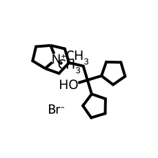 C[N+]1(C)C2CCC1CC(CC(O)(C1CCCC1)C1CCCC1)C2.[Br-]